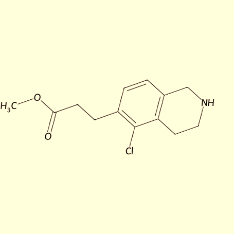 COC(=O)CCc1ccc2c(c1Cl)CCNC2